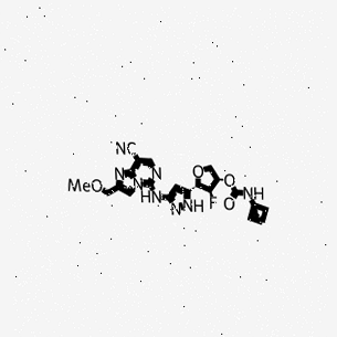 COCc1cn2c(Nc3cc([C@@H]4OC[C@H](OC(=O)NC56CC(C5)C6)[C@H]4F)[nH]n3)ncc(C#N)c2n1